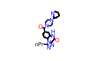 CCCc1nnc2c(=O)[nH]c3cc(C(=O)N4CCN(c5ccccn5)CC4)ccc3n12